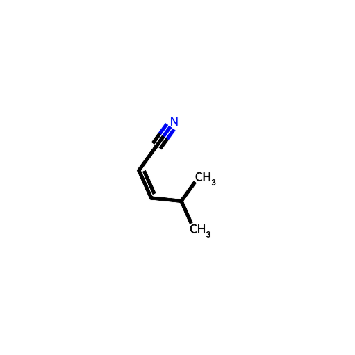 CC(C)/C=C\C#N